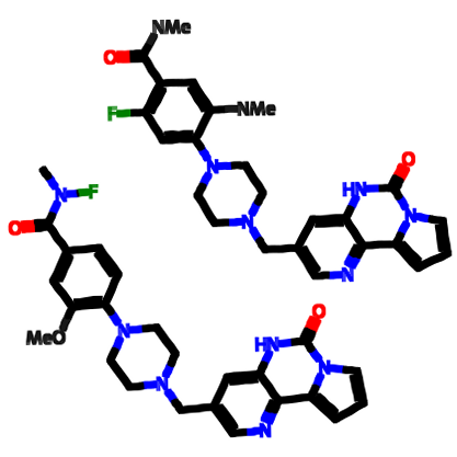 CNC(=O)c1cc(NC)c(N2CCN(Cc3cnc4c(c3)[nH]c(=O)n3cccc43)CC2)cc1F.COc1cc(C(=O)N(C)F)ccc1N1CCN(Cc2cnc3c(c2)[nH]c(=O)n2cccc32)CC1